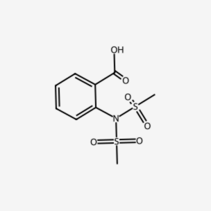 CS(=O)(=O)N(c1ccccc1C(=O)O)S(C)(=O)=O